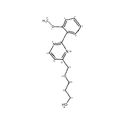 COc1ccccc1-c1nccc(COCCCO)n1